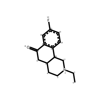 CCN1CCC2CC(=O)c3cc(F)ccc3C2C1